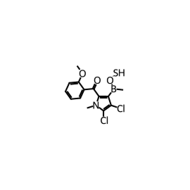 COc1ccccc1C(=O)c1c(B(C)OS)c(Cl)c(Cl)n1C